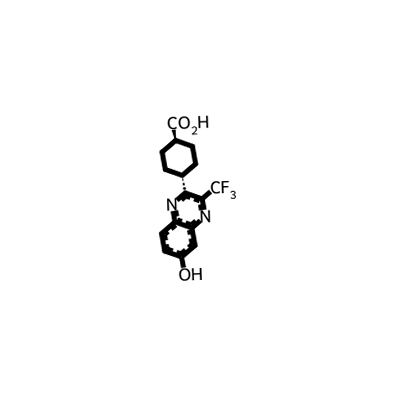 O=C(O)[C@H]1CC[C@H](c2nc3ccc(O)cc3nc2C(F)(F)F)CC1